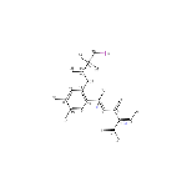 C=C(C)/C(=C/C)C(=C)/C=C(\C)c1cc(C)c(C)cc1C[C@@H](C)C(C)(C)CI